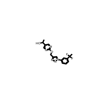 CC(O)c1cnc(OCc2cn(-c3cccc(C(C)(F)F)c3)nn2)nc1